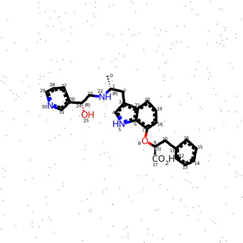 C[C@H](Cc1c[nH]c2c(O[C@@H](Cc3ccccc3)C(=O)O)cccc12)NC[C@H](O)c1cccnc1